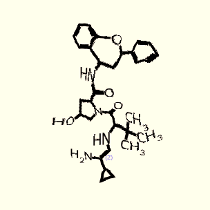 CC(C)(C)C(N/C=C(\N)C1CC1)C(=O)N1CC(O)CC1C(=O)NC1CC(c2ccccc2)Oc2ccccc21